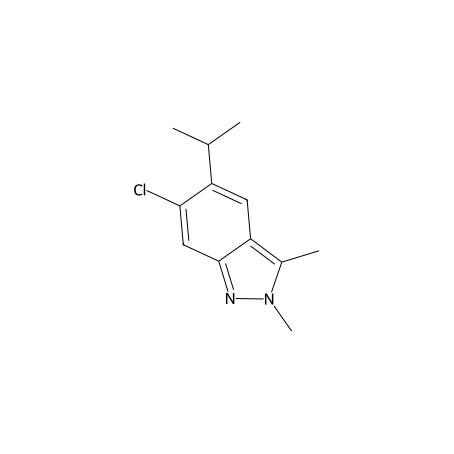 Cc1c2cc(C(C)C)c(Cl)cc2nn1C